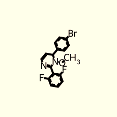 CON1C(c2c(F)cccc2F)=NC=CC1c1ccc(Br)cc1